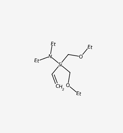 C=C[Si](COCC)(COCC)N(CC)CC